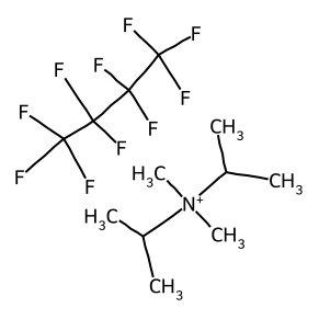 CC(C)[N+](C)(C)C(C)C.FC(F)(F)C(F)(F)C(F)(F)C(F)(F)F